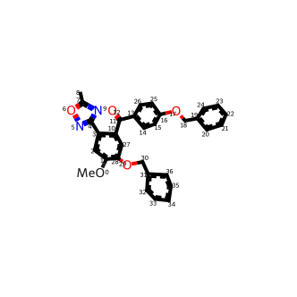 COc1cc(-c2noc(C)n2)c(C(=O)c2ccc(OCc3ccccc3)cc2)cc1OCc1ccccc1